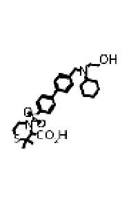 CC1(C)SCCN(S(=O)(=O)c2ccc(-c3ccc(CN(CCO)C4CCCCC4)cc3)cc2)C1C(=O)O